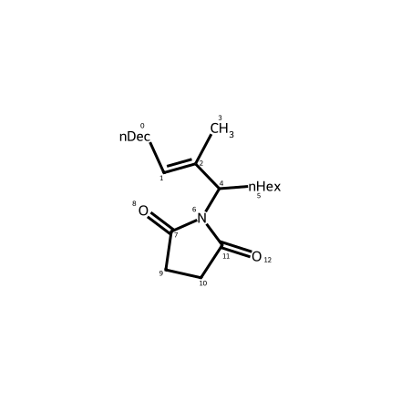 CCCCCCCCCCC=C(C)C(CCCCCC)N1C(=O)CCC1=O